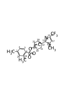 Cc1ccc(S(=O)(=O)OC23CCC(c4nc(C(F)(F)F)cn4C)(CC2)CC3)c(C)c1